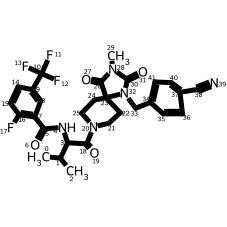 CC(C)C(NC(=O)c1cc(C(F)(F)F)ccc1F)C(=O)N1CCC2(CC1)C(=O)N(C)C(=O)N2Cc1ccc(C#N)cc1